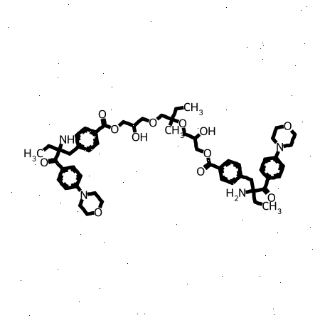 CCC(C)(COCC(O)COC(=O)c1ccc(CC(N)(CC)C(=O)c2ccc(N3CCOCC3)cc2)cc1)OCC(O)COC(=O)c1ccc(CC(N)(CC)C(=O)c2ccc(N3CCOCC3)cc2)cc1